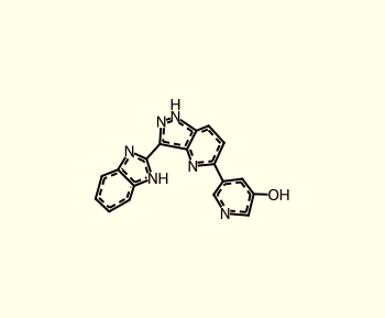 Oc1cncc(-c2ccc3[nH]nc(-c4nc5ccccc5[nH]4)c3n2)c1